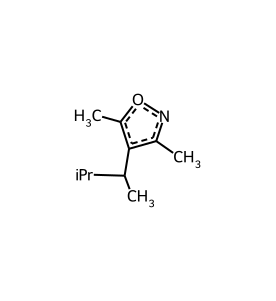 Cc1noc(C)c1C(C)C(C)C